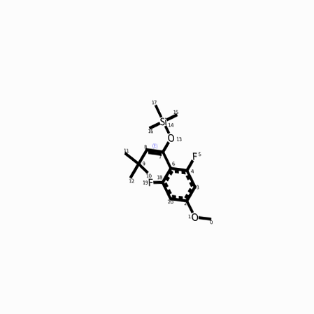 COc1cc(F)c(/C(=C\C(C)(C)C)O[Si](C)(C)C)c(F)c1